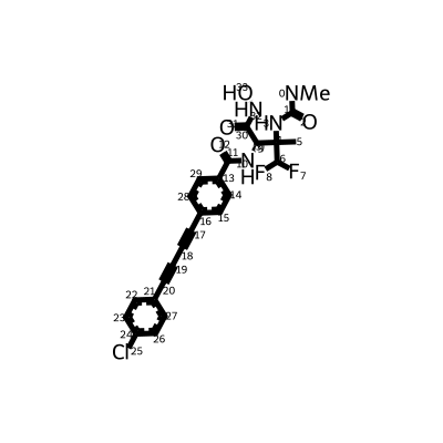 CNC(=O)NC(C)(C(F)F)[C@H](NC(=O)c1ccc(C#CC#Cc2ccc(Cl)cc2)cc1)C(=O)NO